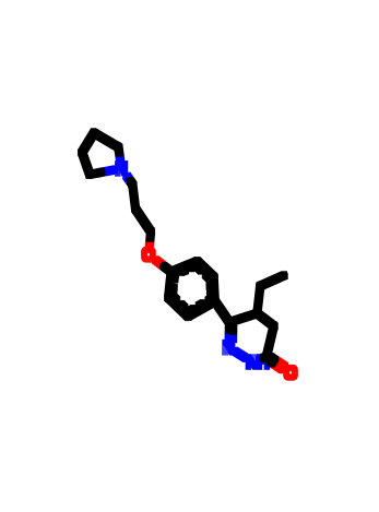 CCC1CC(=O)NN=C1c1ccc(OCCCN2CCCC2)cc1